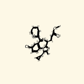 COC(=O)CC[C@@H]1N=C(c2ccccn2)c2cc(Cl)ccc2-n2c1nc(C)c2C1CC1